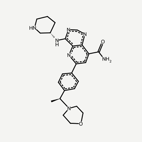 C[C@@H](c1ccc(-c2cc(C(N)=O)c3ncnc(N[C@H]4CCCNC4)c3n2)cc1)N1CCOCC1